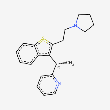 C[C@H](c1ccccn1)c1c(CCN2CCCC2)sc2ccccc12